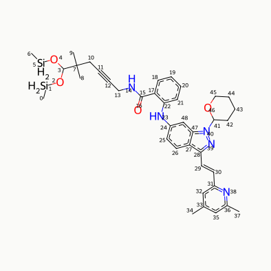 C[SiH2]OC(O[SiH2]C)C(C)(C)CC#CCNC(=O)c1ccccc1Nc1ccc2c(C=Cc3cc(C)cc(C)n3)nn(C3CCCCO3)c2c1